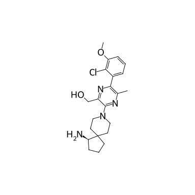 COc1cccc(-c2nc(CO)c(N3CCC4(CCC[C@H]4N)CC3)nc2C)c1Cl